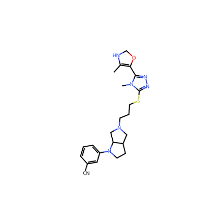 CC1=C(c2nnc(SCCCN3CC4CCN(c5cccc(C#N)c5)C4C3)n2C)OCN1